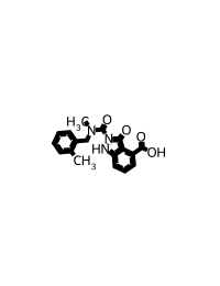 Cc1ccccc1CN(C)C(=O)n1[nH]c2cccc(C(=O)O)c2c1=O